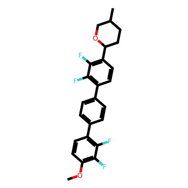 COc1ccc(-c2ccc(-c3ccc(C4CCC(C)CO4)c(F)c3F)cc2)c(F)c1F